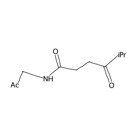 CC(=O)CNC(=O)CCC(=O)C(C)C